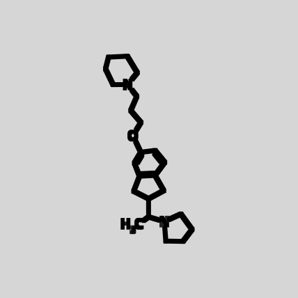 CC(C1Cc2ccc(OCCCN3CCCCC3)cc2C1)N1CCCC1